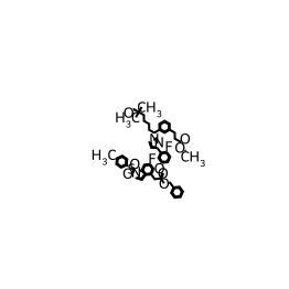 CCOC(=O)CCc1cccc(C(CCCCC(C)(C)C=O)n2ccc(-c3cc(Oc4c(F)cc5c(ccn5S(=O)(=O)c5ccc(C)cc5)c4CC(=O)OCc4ccccc4)ccc3F)n2)c1